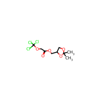 CC1(C)OCC(COC(=O)COC(Cl)(Cl)Cl)O1